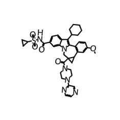 COc1ccc2c(c1)C1CC1(C(=O)N1CCN(c3cnccn3)CC1)Cn1c-2c(C2CCCCC2)c2ccc(C(=O)NS(=O)(=O)C3CC3)cc21